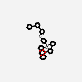 c1ccc(Oc2ccccc2Oc2c(-c3ccccc3)cccc2-c2ccccc2Oc2ccc(Oc3cccc(-c4cccc(-c5ccccc5)c4)c3)cc2)cc1